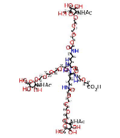 CC(=O)N[C@H]1[C@H](OCCOCCOCCOCC(=O)NCCCC[C@H](NC(=O)COCCOCCOCCO[C@@H]2O[C@H](CO)[C@H](O)[C@H](O)[C@H]2NC(C)=O)C(=O)N[C@@H](CCCCNC(=O)COCCOCCOCCO[C@@H]2O[C@H](CO)[C@H](O)[C@H](O)[C@H]2NC(C)=O)C(=O)NCCOCCC(=O)O)O[C@H](CO)[C@H](O)[C@@H]1O